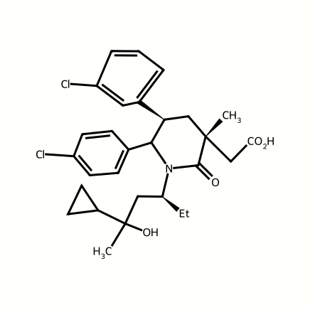 CC[C@@H](CC(C)(O)C1CC1)N1C(=O)[C@@](C)(CC(=O)O)C[C@H](c2cccc(Cl)c2)C1c1ccc(Cl)cc1